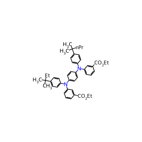 CCCC(C)(C)c1ccc(N(c2ccc(N(c3ccc(C(C)(C)CC)cc3)c3cccc(C(=O)OCC)c3)cc2)c2cccc(C(=O)OCC)c2)cc1